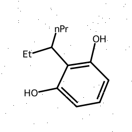 [CH2]CCC(CC)c1c(O)cccc1O